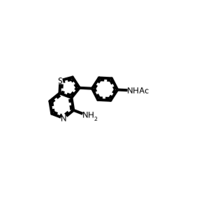 CC(=O)Nc1ccc(-c2csc3ccnc(N)c23)cc1